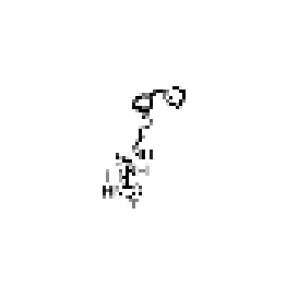 CC(C)NC(=O)NNC(=S)NCCCOc1cccc(CN2CCCCC2)c1